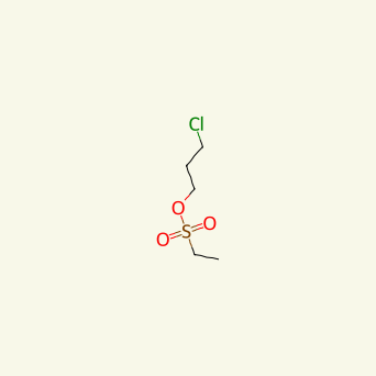 CCS(=O)(=O)OCCCCl